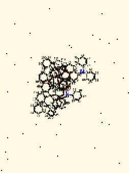 CC1(C)c2ccccc2-c2ccc(N(c3ccccc3)c3ccc(-c4cccc5c4C4(c6ccccc6-5)c5ccccc5C5(c6ccccc6-c6c(CC7(C)c8ccccc8-c8cc(N(c9ccccc9)c9ccccc9-c9ccc%10c(c9)-c9ccccc9C%109c%10ccccc%10C%10(c%11ccccc%11-c%11ccccc%11%10)c%10ccccc%109)ccc87)cccc65)c5ccccc54)cc3)cc21